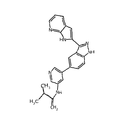 C=C(Nc1cncc(-c2ccc3[nH]nc(-c4cc5cccnc5[nH]4)c3c2)c1)C(C)C